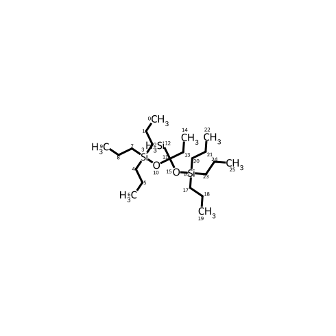 CCC[Si](CCC)(CCC)OC([SiH3])(CC)O[Si](CCC)(CCC)CCC